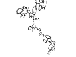 CN(CCOCCNc1cccc2c1C(=O)N(C1CCC(=O)NC1=O)C2=O)C(=O)CCNc1nc(N2CCN(C(=O)C(O)O)CC2)c2cc(Cl)c(-c3c(O)cccc3F)c(F)c2n1